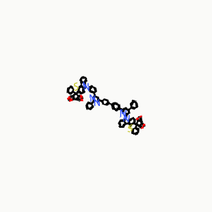 c1ccc(-c2cc(-c3ccc(-c4ccc(-c5cc(-c6cccc(-n7c8ccccc8c8c9c(ccc87)C7(c8ccccc8S9)c8ccccc8-c8ccccc87)c6)nc(-c6ccccc6)n5)cc4)cc3)nc(-n3c4ccccc4c4c5c(ccc43)C3(c4ccccc4S5)c4ccccc4-c4ccccc43)c2)cc1